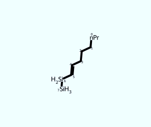 CCCCCCC=C[SiH2][SiH3]